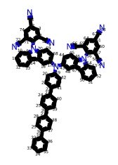 N#Cc1cc(C#N)c(-n2c3ccccc3c3cc(N(c4ccc(-c5ccc(-c6ccc(-c7ccccc7)cc6)cc5)cc4)c4ccc5c(c4)c4ccccc4n5-c4c(C#N)cc(C#N)cc4C#N)ccc32)c(C#N)c1